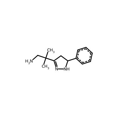 CC(C)(CN)C1=NNC(c2ccccc2)C1